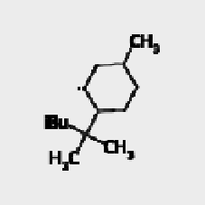 CCC(C)C(C)(C)C1[CH]CC(C)CC1